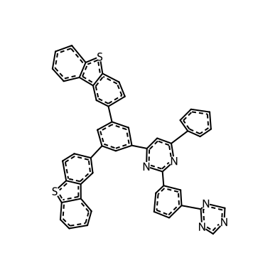 c1ccc(-c2cc(-c3cc(-c4ccc5sc6ccccc6c5c4)cc(-c4ccc5sc6ccccc6c5c4)c3)nc(-c3cccc(-c4ncncn4)c3)n2)cc1